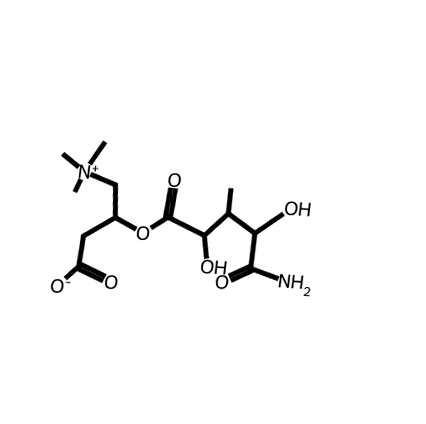 CC(C(O)C(N)=O)C(O)C(=O)OC(CC(=O)[O-])C[N+](C)(C)C